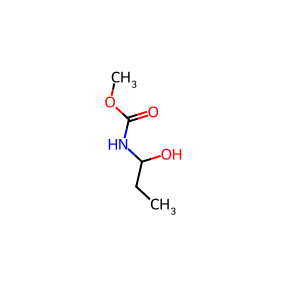 CCC(O)NC(=O)OC